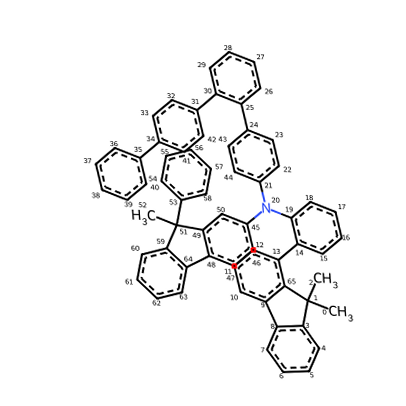 CC1(C)c2ccccc2-c2cccc(-c3ccccc3N(c3ccc(-c4ccccc4-c4ccc(-c5ccccc5)cc4)cc3)c3ccc4c(c3)C(C)(c3ccccc3)c3ccccc3-4)c21